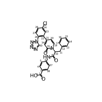 O=C(O)c1ccc(NC(=O)C(Cc2ccccc2)n2ccc(-c3cc(Cl)ccc3-n3cnnn3)cc2=O)cc1